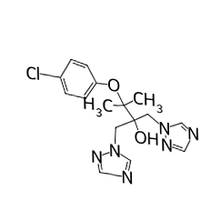 CC(C)(Oc1ccc(Cl)cc1)C(O)(Cn1cncn1)Cn1cncn1